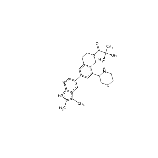 Cc1[nH]c2ncc(-c3cc4c(c(C5COCCN5)c3)CN(C(=O)C(C)(C)O)CC4)cc2c1C